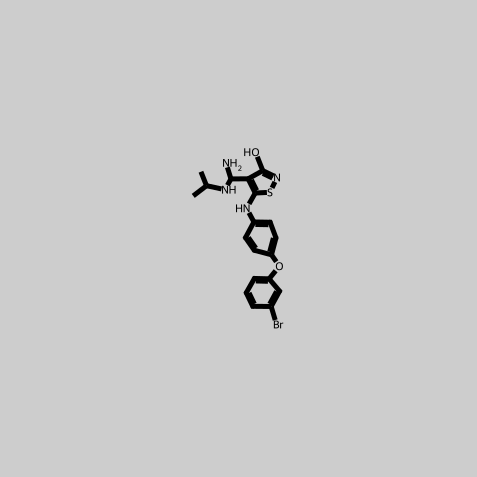 CC(C)NC(N)c1c(O)nsc1Nc1ccc(Oc2cccc(Br)c2)cc1